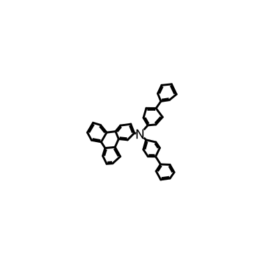 c1ccc(-c2ccc(N(c3ccc(-c4ccccc4)cc3)c3ccc4c5ccccc5c5ccccc5c4c3)cc2)cc1